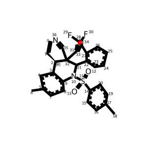 C=C[C@@H]1c2cc(C)ccc2N(S(=O)(=O)c2ccc(C)cc2)C(c2ccccc2C(F)(F)F)C1(C#N)C#N